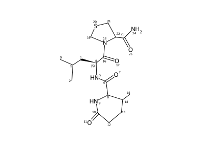 CC(C)C[C@H](NC(=O)C1NC(=O)CCC1C)C(=O)N1CSCC1C(N)=O